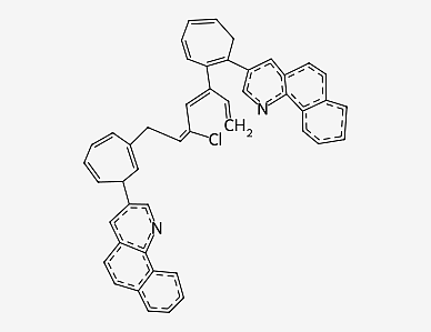 C=C/C(=C\C(Cl)=C/CC1=CC(c2cnc3c(ccc4ccccc43)c2)C=CC=C1)C1=C(c2cnc3c(ccc4ccccc43)c2)CC=CC=C1